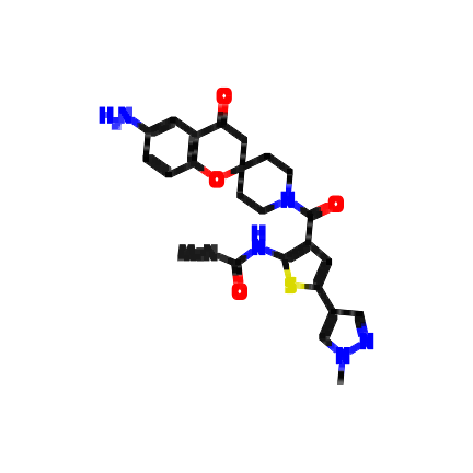 CNC(=O)Nc1sc(-c2cnn(C)c2)cc1C(=O)N1CCC2(CC1)CC(=O)c1cc(N)ccc1O2